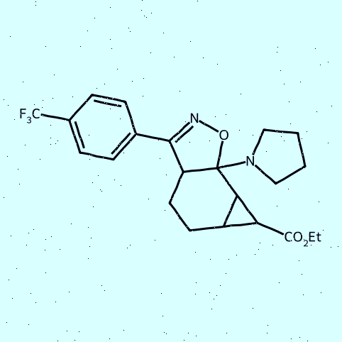 CCOC(=O)C1C2CCC3C(c4ccc(C(F)(F)F)cc4)=NOC3(N3CCCC3)C21